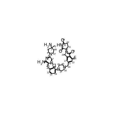 CC1(N)CCN(c2cnc(Sc3cccc(N4CCN(Cc5cc(F)c6c(c5)CN(C5CCC(=O)NC5=O)C6=O)CC4)c3Cl)c(N)n2)CC1